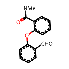 CNC(=O)c1ccccc1Oc1ccccc1C=O